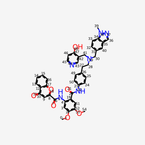 COc1cc(NC(=O)c2cc(=O)c3ccccc3o2)c(C(=O)Nc2ccc(CCN(Cc3ccc4c(cnn4C)c3)Cc3cnccc3O)cc2)cc1OC